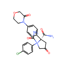 NC(=O)[C@]1(c2ccc(N3CCOCC3=O)cc2)CC(=O)C[N+]1(C(N)=O)c1ccc(Cl)cc1